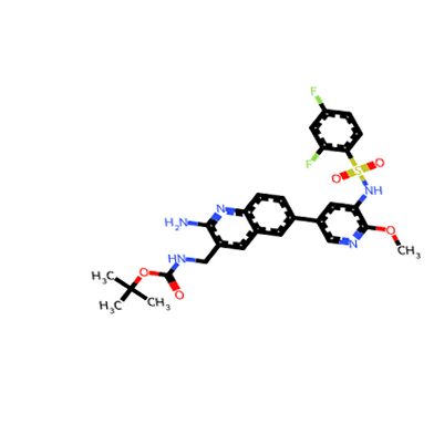 COc1ncc(-c2ccc3nc(N)c(CNC(=O)OC(C)(C)C)cc3c2)cc1NS(=O)(=O)c1ccc(F)cc1F